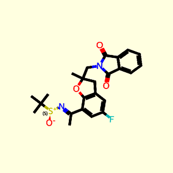 CC(=N[S@+]([O-])C(C)(C)C)c1cc(F)cc2c1OC(C)(CN1C(=O)c3ccccc3C1=O)C2